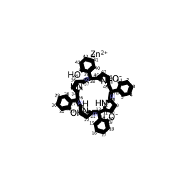 [O-]c1ccccc1/C1=C2\C=CC(N2)/C(c2ccccc2[O-])=c2/cc/c([nH]2)=C(\c2ccccc2O)C2C=C/C(=C(\c3ccccc3O)c3ccc1[nH]3)N2.[Zn+2]